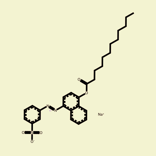 CCCCCCCCCCCC(=O)Oc1ccc(/N=N/c2cccc(S(=O)(=O)[O-])c2)c2ccccc12.[Na+]